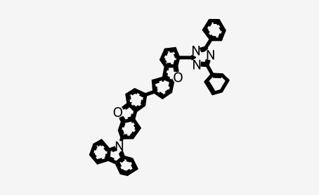 C1=CC(c2nc(-c3ccccc3)nc(-c3cccc4c3oc3ccc(-c5ccc6oc7cc(-n8c9ccccc9c9ccccc98)ccc7c6c5)cc34)n2)=CCC1